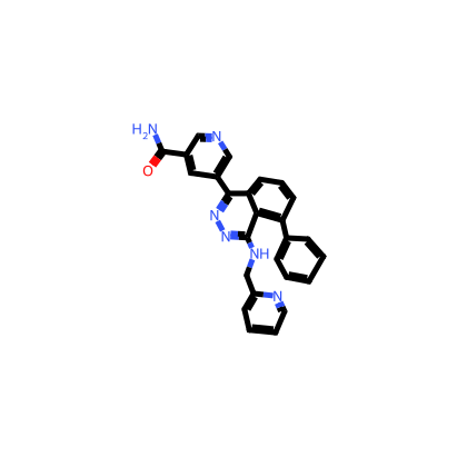 NC(=O)c1cncc(-c2nnc(NCc3ccccn3)c3c(-c4ccccc4)cccc23)c1